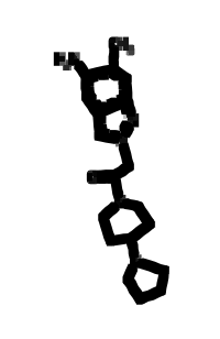 Cc1cc2nn(CC(=O)N3CCC(N4CCCC4)CC3)cc2cc1N